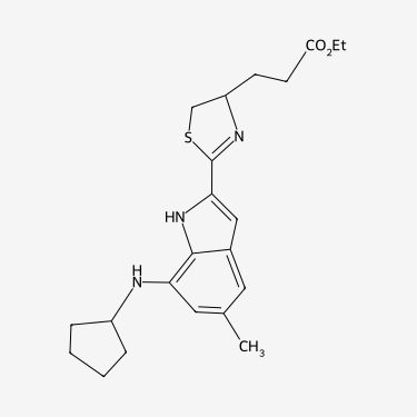 CCOC(=O)CCC1CSC(c2cc3cc(C)cc(NC4CCCC4)c3[nH]2)=N1